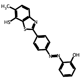 Cc1ccc2nc(-c3ccc(/N=N/c4ccccc4O)cc3)sc2c1S